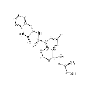 NC(=O)[C@H](Cc1ccccc1)NC(=O)c1cc(F)cc2c1OCCC2NC[C@@H](N)CS